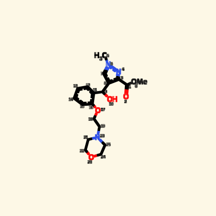 COC(=O)c1nn(C)cc1C(O)c1ccccc1OCCN1CCOCC1